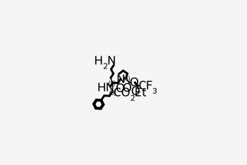 CCOC(=O)[C@H](CCc1ccccc1)N[C@@H](CCCCN)C(=O)N1CCC[C@H]1C(=O)OC(=O)C(F)(F)F